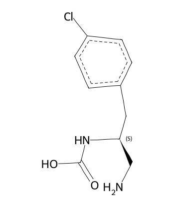 NC[C@H](Cc1ccc(Cl)cc1)NC(=O)O